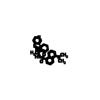 CNC(=S)[C@@]1(c2cccnc2)CCCC[C@@H]1C(C)NS(=O)(=O)c1cccc2c(N(C)C)cccc12